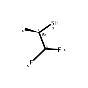 C[C@@H](S)C(F)F